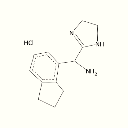 Cl.NC(C1=NCCN1)c1cccc2c1CCC2